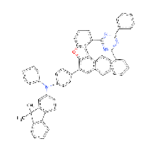 CC1(C)c2ccccc2-c2ccc(N(c3ccccc3)c3ccc(-c4cc5ccccc5c5c4oc4cccc(-c6nc(-c7ccccc7)nc(-c7ccccc7)n6)c45)cc3)cc21